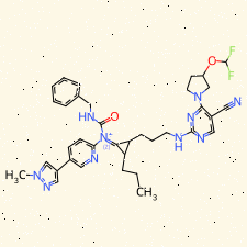 CCCC1/C(=[N+](/C(=O)NCc2ccccc2)c2ccc(-c3cnn(C)c3)cn2)C1CCCNc1ncc(C#N)c(N2CCC(OC(F)F)C2)n1